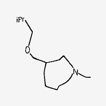 CC(C)COC1CCN(C)C1